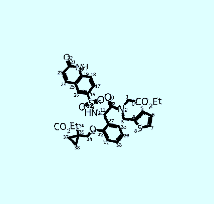 CCOC(=O)CN(Cc1cccs1)C(=O)[C@@H](NS(=O)(=O)c1ccc2[nH]c(=O)ccc2c1)c1ccccc1OCC1(C(=O)OCC)CC1